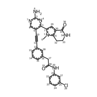 Cn1c(-c2nc(N)ncc2C#Cc2cccc(CC(=O)Nc3cccc(Cl)c3)c2)cc2c1CCNC2=O